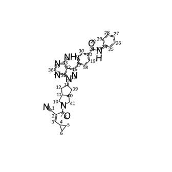 N#C/C(=C/C1CC1)C(=O)N1CC2CC(n3nc(-c4ccc(C(=O)Nc5ccccc5)cc4)c4c(N)ncnc43)CC2C1